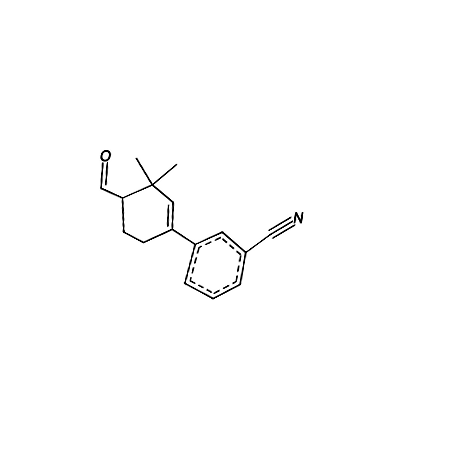 CC1(C)C=C(c2cccc(C#N)c2)CCC1C=O